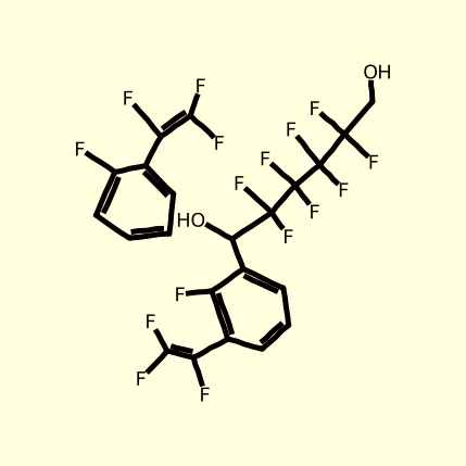 FC(F)=C(F)c1ccccc1F.OCC(F)(F)C(F)(F)C(F)(F)C(F)(F)C(O)c1cccc(C(F)=C(F)F)c1F